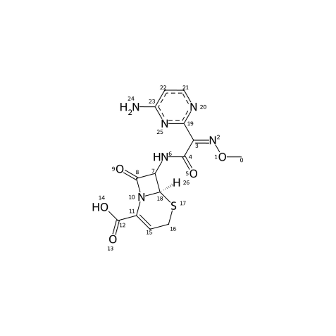 CO/N=C(\C(=O)NC1C(=O)N2C(C(=O)O)=CCS[C@H]12)c1nccc(N)n1